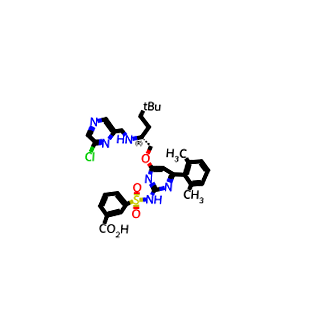 Cc1cccc(C)c1-c1cc(OC[C@@H](CCC(C)(C)C)NCc2cncc(Cl)n2)nc(NS(=O)(=O)c2cccc(C(=O)O)c2)n1